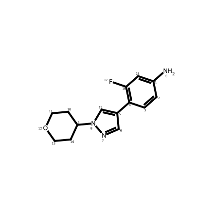 Nc1ccc(-c2cnn(C3CCOCC3)c2)c(F)c1